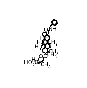 CC(C)(CC(=O)O)CC(=O)O[C@H]1CC[C@@]2(C)C(CC[C@]3(C)C2CC[C@@H]2[C@H]4CCC[C@]4(CC(=O)NCc4ccccc4)CC[C@]23C)C1(C)C